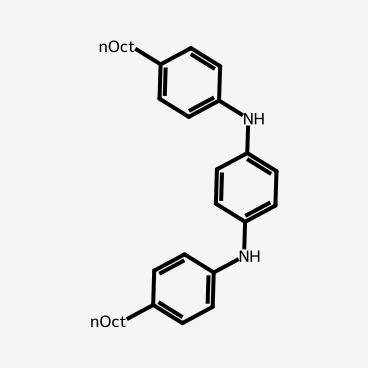 CCCCCCCCc1ccc(Nc2ccc(Nc3ccc(CCCCCCCC)cc3)cc2)cc1